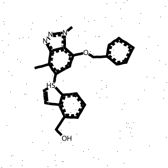 Cc1c([SH]2C=Cc3c(CO)cccc32)cc(OCc2ccccc2)c2c1nnn2C